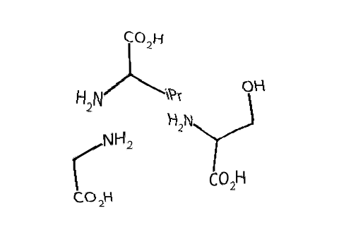 CC(C)C(N)C(=O)O.NC(CO)C(=O)O.NCC(=O)O